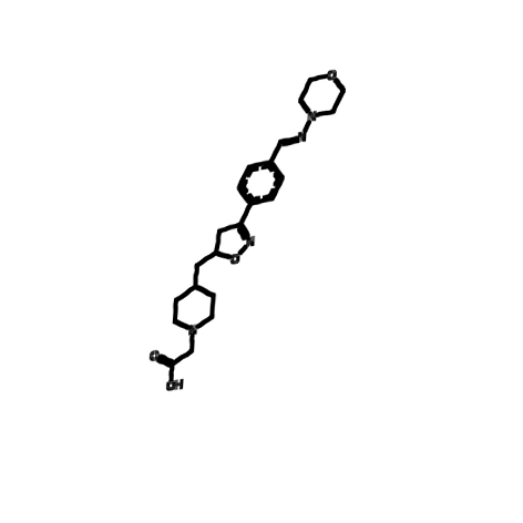 O=C(O)CN1CCC(CC2CC(c3ccc(C=NN4CCOCC4)cc3)=NO2)CC1